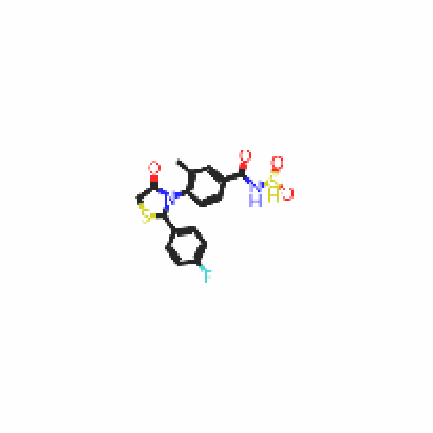 Cc1cc(C(=O)N[SH](=O)=O)ccc1N1C(=O)CSC1c1ccc(F)cc1